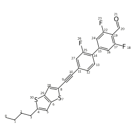 CCCCc1cc2sc(C#Cc3ccc(-c4cc(F)c(C=O)c(F)c4)c(F)c3)cc2s1